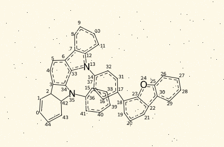 C1=CC2c3ccc4c5ccccc5n(-c5ccc(-c6cccc7c6oc6ccccc67)cc5)c4c3N(c3ccccc3)C2C=C1